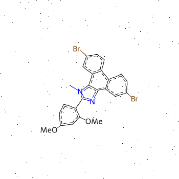 COc1ccc(-c2nc3c4cc(Br)ccc4c4ccc(Br)cc4c3n2C)c(OC)c1